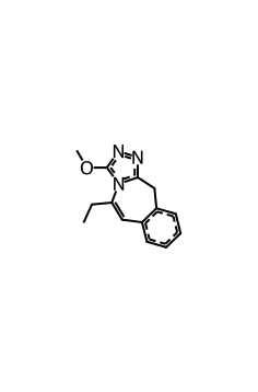 CCC1=Cc2ccccc2Cc2nnc(OC)n21